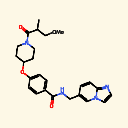 COCC(C)C(=O)N1CCC(Oc2ccc(C(=O)NCc3ccc4nccn4c3)cc2)CC1